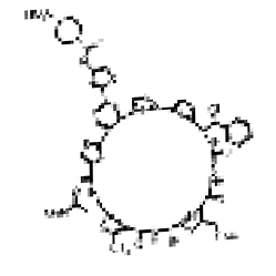 CNC(=O)C[C@@H]1NC(=O)c2csc(n2)-c2ccc(-c3nc(NC(=O)[C@H]4CC[C@@H](C(=O)O)CC4)cs3)nc2-c2csc(n2)-c2csc(n2)[C@H]([C@@H](O)c2ccccc2)NC(=O)CNC(=O)c2nc(sc2COC)[C@H](C(C)C)NC(=O)c2nc1sc2C